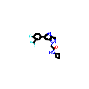 O=C(Cn1ncc2ncc(-c3ccc(F)c(C(F)F)c3)cc21)NC1CCC1